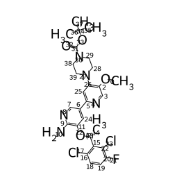 COc1cnc(-c2cnc(N)c(O[C@H](C)c3c(Cl)ccc(F)c3Cl)c2)cc1N1CCN(C(=O)OC(C)(C)C)CC1